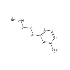 CCNCCOc1cccc(C=O)c1